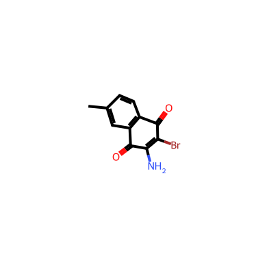 Cc1ccc2c(c1)C(=O)C(N)=C(Br)C2=O